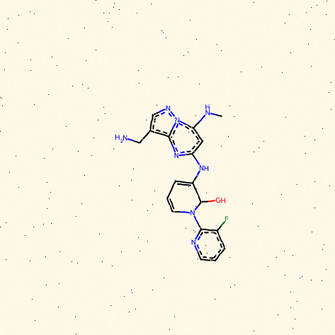 CNc1cc(NC2=CC=CN(c3ncccc3F)C2O)nc2c(CN)cnn12